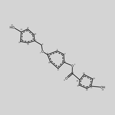 O=C(Oc1ccc(OCc2ccc(O)cc2)cc1)c1ccc(O)cc1